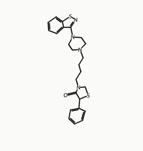 O=C1C(c2ccccc2)SCN1CCCCN1CCN(c2nsc3ccccc23)CC1